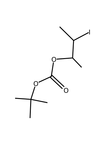 CC(I)C(C)OC(=O)OC(C)(C)C